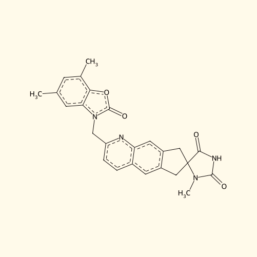 Cc1cc(C)c2oc(=O)n(Cc3ccc4cc5c(cc4n3)CC3(C5)C(=O)NC(=O)N3C)c2c1